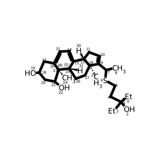 CCC(O)(CC)CCSC(C)C1=CC[C@H]2C3=CC=C4CC(O)CC(O)[C@]4(C)[C@H]3CC[C@]12C